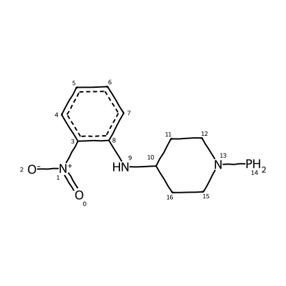 O=[N+]([O-])c1ccccc1NC1CCN(P)CC1